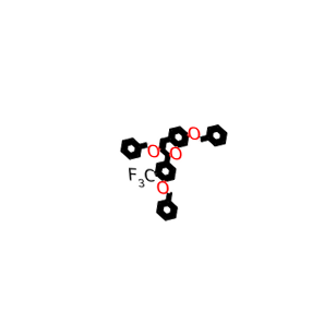 FC(F)(F)c1cc(C2Oc3cc(OCc4ccccc4)ccc3C=C2OCc2ccccc2)ccc1OCc1ccccc1